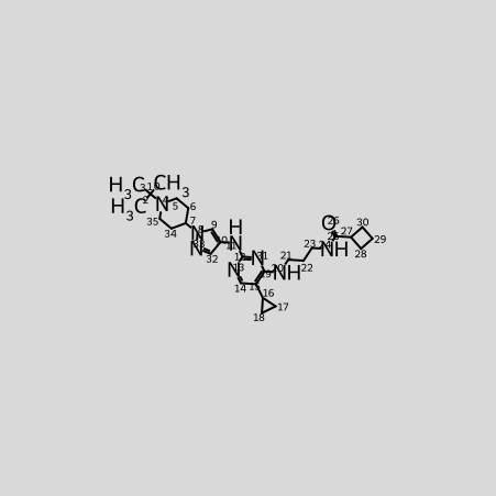 CC(C)(C)N1CCC(n2cc(Nc3ncc(C4CC4)c(NCCCNC(=O)C4CCC4)n3)cn2)CC1